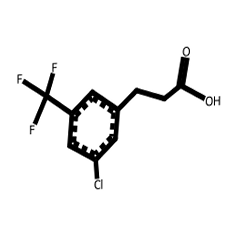 O=C(O)CCc1cc(Cl)cc(C(F)(F)F)c1